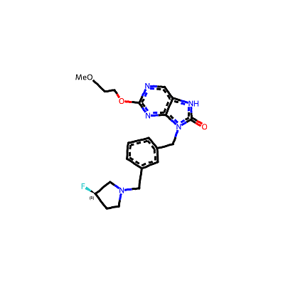 COCCOc1ncc2[nH]c(=O)n(Cc3cccc(CN4CC[C@@H](F)C4)c3)c2n1